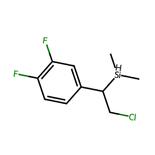 C[SiH](C)C(CCl)c1ccc(F)c(F)c1